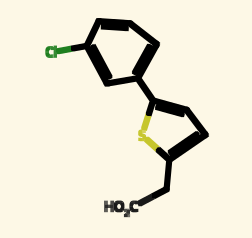 O=C(O)Cc1ccc(-c2cccc(Cl)c2)s1